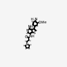 COc1cc(-c2csc3c(NC(=O)CCN4CCCC4)cnc(N)c23)ccc1N